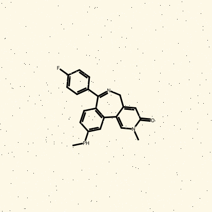 CPc1ccc2c(c1)-c1cn(C)c(=O)cc1CN=C2c1ccc(F)cc1